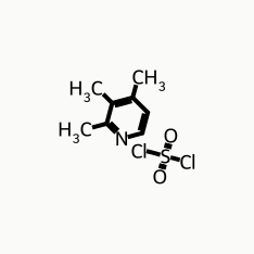 Cc1ccnc(C)c1C.O=S(=O)(Cl)Cl